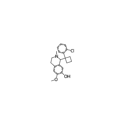 COc1cc2c(cc1O)C(C1(c3ccccc3Cl)CCC1)N(C)CC2